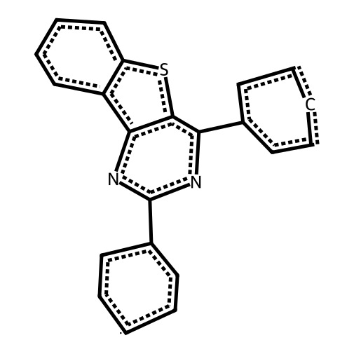 [c]1ccc(-c2nc(-c3ccccc3)c3sc4ccccc4c3n2)cc1